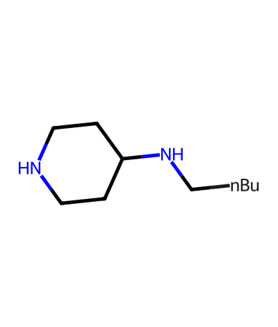 CCCCCNC1CCNCC1